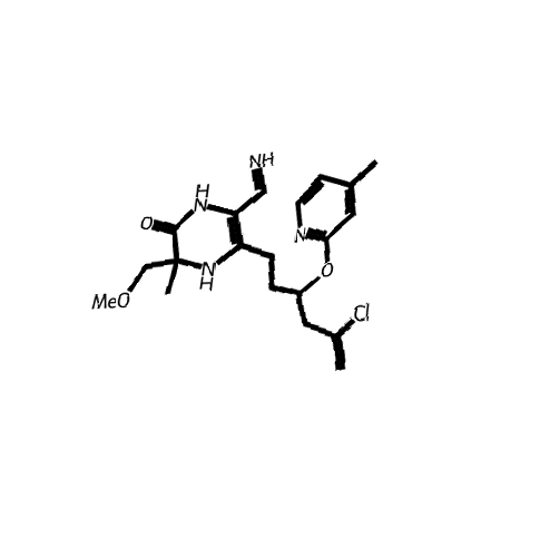 C=C(Cl)CC(CCC1=C(C=N)NC(=O)C(C)(COC)N1)Oc1cc(C)ccn1